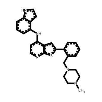 CN1CCN(Cc2ccccc2-c2cc3c(Nc4cccc5[nH]ccc45)ccnc3s2)CC1